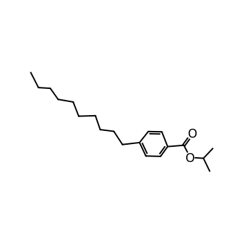 CCCCCCCCCCc1ccc(C(=O)OC(C)C)cc1